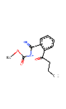 CC(C)(C)OC(=O)NC(=N)c1ccccc1C(=O)CC[C]=O